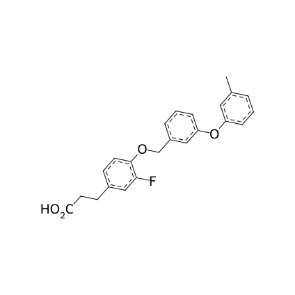 Cc1cccc(Oc2cccc(COc3ccc(CCC(=O)O)cc3F)c2)c1